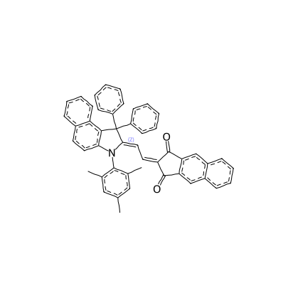 Cc1cc(C)c(N2/C(=C\C=C3C(=O)c4cc5ccccc5cc4C3=O)C(c3ccccc3)(c3ccccc3)c3c2ccc2ccccc32)c(C)c1